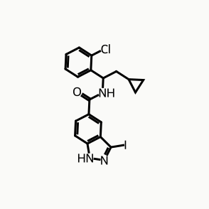 O=C(NC(CC1CC1)c1ccccc1Cl)c1ccc2[nH]nc(I)c2c1